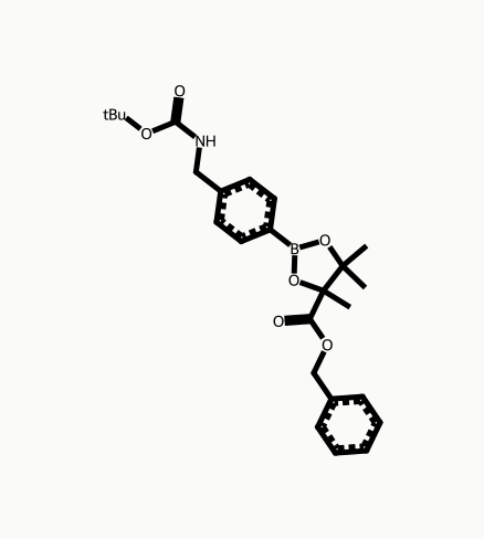 CC(C)(C)OC(=O)NCc1ccc(B2OC(C)(C)C(C)(C(=O)OCc3ccccc3)O2)cc1